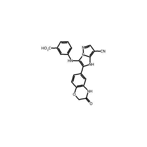 N#Cc1cnn2c(Nc3cccc(C(=O)O)c3)c(-c3ccc4c(c3)NC(=O)CO4)[nH]c12